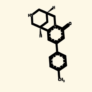 Cc1ccc(-c2cc3n(c(=O)c2)C[C@@H]2CNC[C@H]3C2)cc1